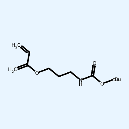 C=CC(=C)OCCCNC(=O)OC(C)(C)C